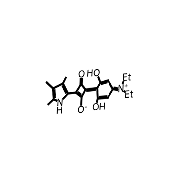 CC[N+](CC)=C1C=C(O)C(=C2C(=O)C(c3[nH]c(C)c(C)c3C)=C2[O-])C(O)=C1